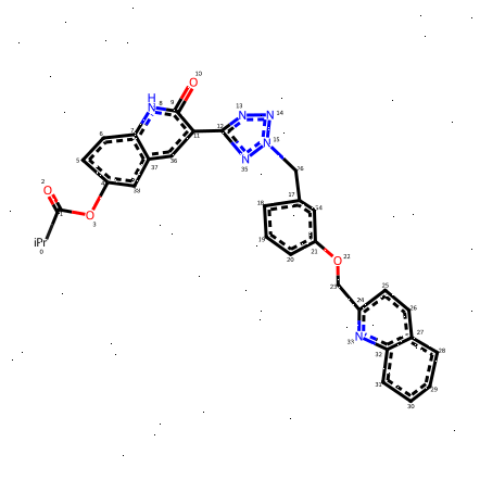 CC(C)C(=O)Oc1ccc2[nH]c(=O)c(-c3nnn(Cc4cccc(OCc5ccc6ccccc6n5)c4)n3)cc2c1